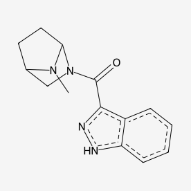 CN1C2CCC1N(C(=O)c1n[nH]c3ccccc13)C2